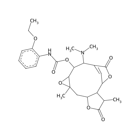 CCOc1ccccc1NC(=O)OC1C(N(C)C)C2=CC(OC2=O)C2C(CC3(C)OC13)OC(=O)C2C